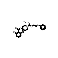 Cl.NC1=NC2(CCN(C(=O)OCCOc3ccccc3)CC2)Nc2cccc(F)c21